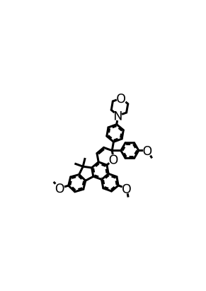 COc1ccc(C2(c3ccc(N4CCOCC4)cc3)C=Cc3c4c(c5ccc(OC)cc5c3O2)-c2ccc(OC)cc2C4(C)C)cc1